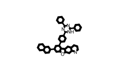 c1ccc(C2=NC(c3ccc(-c4cc(-c5ccc6ccccc6c5)cc5oc6cc7ncccc7cc6c45)cc3)NC(c3ccccc3)=N2)cc1